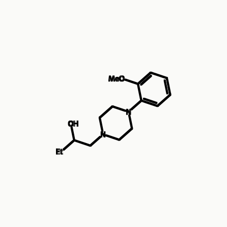 CCC(O)CN1CCN(c2ccccc2OC)CC1